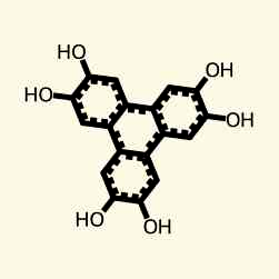 Oc1cc2c3cc(O)c(O)cc3c3cc(O)c(O)cc3c2cc1O